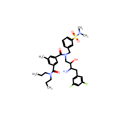 CCCN(CCC)C(=O)c1cc(C)cc(C(=O)N(Cc2cccc(S(=O)(=O)N(C)C)c2)CC(O)C(N)Cc2cc(F)cc(F)c2)c1